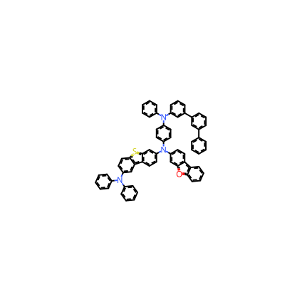 c1ccc(-c2cccc(-c3cccc(N(c4ccccc4)c4ccc(N(c5ccc6c(c5)oc5ccccc56)c5ccc6c(c5)sc5ccc(N(c7ccccc7)c7ccccc7)cc56)cc4)c3)c2)cc1